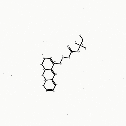 CCC(C)(C)CC(=O)CSCC1=CCCC2CC3CC=CC=C3C=C12